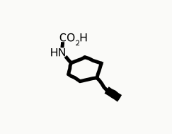 C#CC1CCC(NC(=O)O)CC1